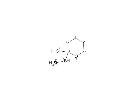 [SiH3]BC1([SiH3])CCCCO1